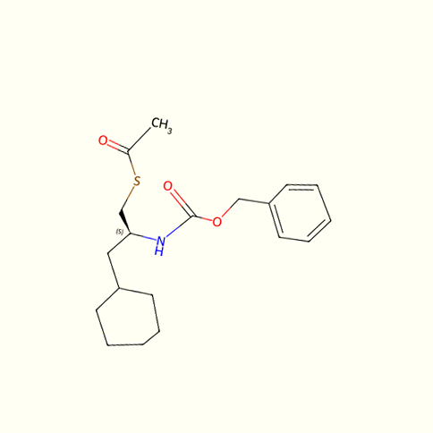 CC(=O)SC[C@H](CC1CCCCC1)NC(=O)OCc1ccccc1